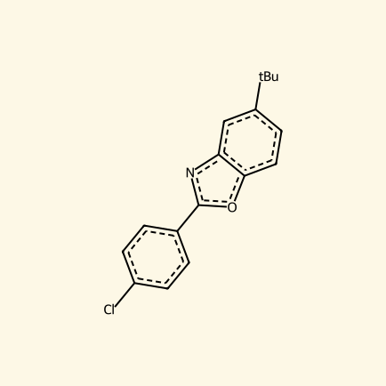 CC(C)(C)c1ccc2oc(-c3ccc(Cl)cc3)nc2c1